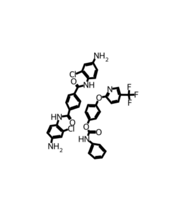 Nc1ccc(NC(=O)c2ccc(C(=O)Nc3ccc(N)cc3Cl)cc2)c(Cl)c1.O=C(Nc1ccccc1)Oc1ccc(Oc2ccc(C(F)(F)F)cn2)cc1